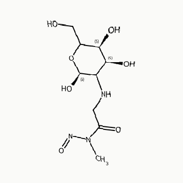 CN(N=O)C(=O)CNC1[C@@H](O)OC(CO)[C@@H](O)[C@H]1O